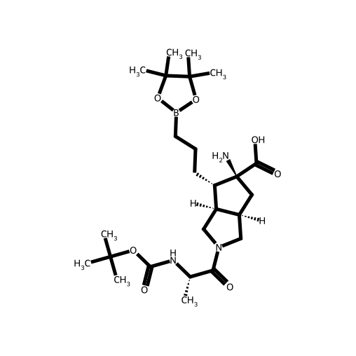 C[C@H](NC(=O)OC(C)(C)C)C(=O)N1C[C@@H]2C[C@@](N)(C(=O)O)[C@@H](CCCB3OC(C)(C)C(C)(C)O3)[C@@H]2C1